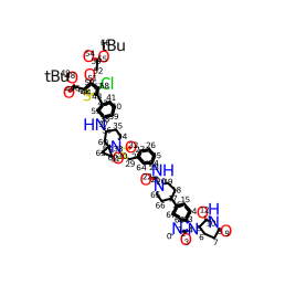 Cn1c(=O)n(C2CCC(=O)NC2=O)c2ccc(C3CCN(C(=O)Nc4cccc(CS(=O)(=O)N5CC[C@H](Nc6cccc(-c7sc(C(=O)OC(C)(C)C)c(OCC(=O)OC(C)(C)C)c7Cl)c6)CC56CC6)c4)CC3)cc21